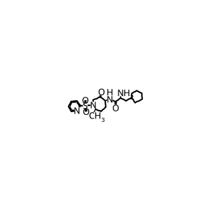 C[C@@H]1CC[C@H](NC(=O)[C@@H](N)CC2CCCCC2)C(=O)CN1S(=O)(=O)c1ccccn1